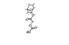 CCC(C)C(=O)OCC(=O)OC1CC2CCC1C2